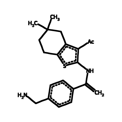 C=C(Nc1sc2c(c1C(C)=O)CC(C)(C)CC2)c1ccc(CN)cc1